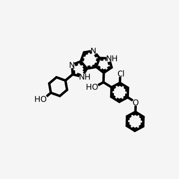 OC1CCC(c2nc3cnc4[nH]cc(C(O)c5ccc(Oc6ccccc6)cc5Cl)c4c3[nH]2)CC1